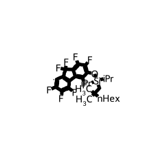 CCCCCCC(C)(C)C[Si](Oc1c(F)c(F)c2c(c1F)-c1c([c]c(F)c(F)c1F)C2(F)F)(C(C)C)C(C)C